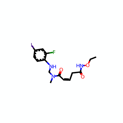 CCONC(=O)C/C=C\C(=O)N(C)CNc1ccc(I)cc1F